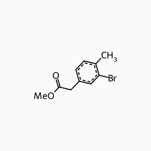 COC(=O)Cc1ccc(C)c(Br)c1